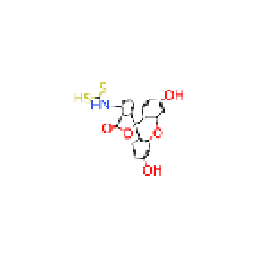 O=C1OC2(c3ccc(O)cc3Oc3cc(O)ccc32)c2cccc(NC(=S)S)c21